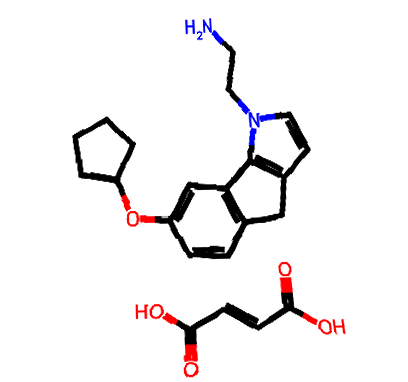 NCCn1ccc2c1-c1cc(OC3CCCC3)ccc1C2.O=C(O)/C=C/C(=O)O